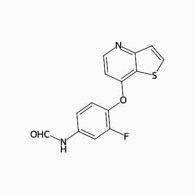 O=CNc1ccc(Oc2ccnc3ccsc23)c(F)c1